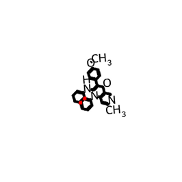 COc1ccc(-c2c(NC3=CCCC=C3)n(-c3ccccc3)c3cc(C)ncc3c2=O)cc1